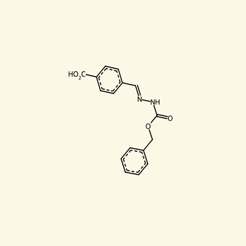 O=C(NN=Cc1ccc(C(=O)O)cc1)OCc1ccccc1